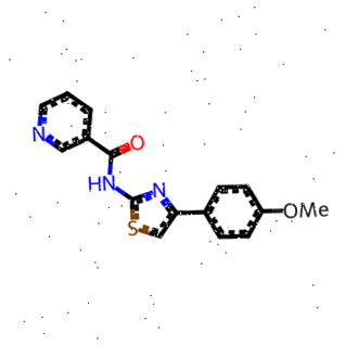 COc1ccc(-c2csc(NC(=O)c3cccnc3)n2)cc1